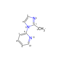 [CH2]c1nccn1-c1ccccn1